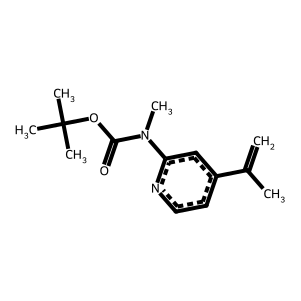 C=C(C)c1ccnc(N(C)C(=O)OC(C)(C)C)c1